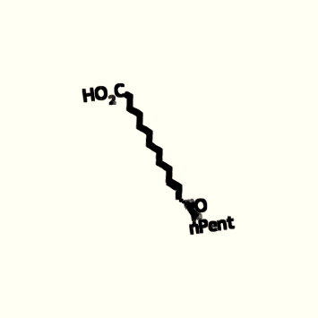 CCCCC[C@H]1O[C@H]1CC=CCCCCCCCCCC(=O)O